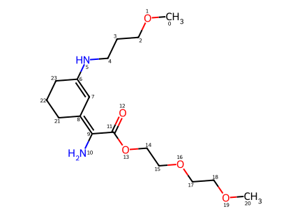 COCCCNC1=C/C(=C(/N)C(=O)OCCOCCOC)CCC1